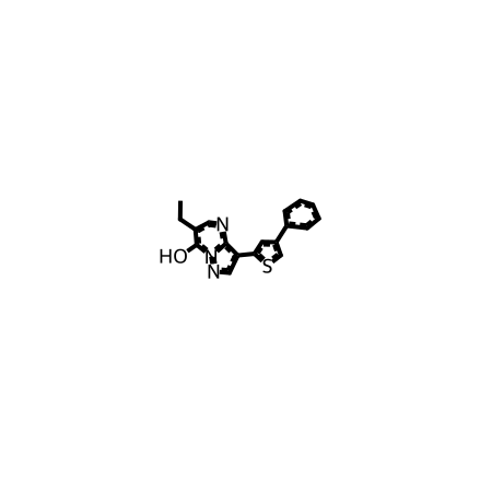 CCc1cnc2c(-c3cc(-c4ccccc4)cs3)cnn2c1O